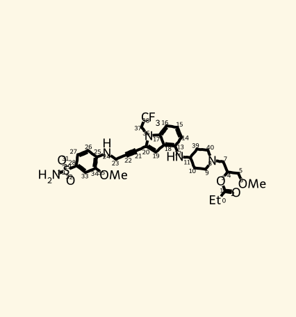 CCC(=O)OC(COC)CN1CCC(Nc2cccc3c2cc(C#CCNc2ccc(S(N)(=O)=O)cc2OC)n3CC(F)(F)F)CC1